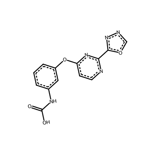 O=C(O)Nc1cccc(Oc2ccnc(-c3nnco3)n2)c1